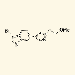 COCCn1cc(-c2ccc3c(Br)cnn3c2)cn1